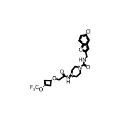 O=C(CO[C@H]1C[C@@H](OC(F)(F)F)C1)NN1CCN(C(=O)NCc2cc3cc(Cl)ccc3o2)CC1